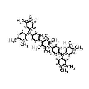 Cc1ccc(N(c2ccc(-c3c(C)c(C)c(-c4ccc(N(c5ccc(C)c(C)c5)c5ccc(C)c(C)c5)cc4)c(C)c3C)cc2)c2ccc(C)c(C)c2)cc1C